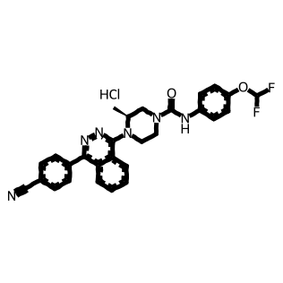 C[C@H]1CN(C(=O)Nc2ccc(OC(F)F)cc2)CCN1c1nnc(-c2ccc(C#N)cc2)c2ccccc12.Cl